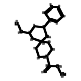 CCOC1CC(c2cccnc2)OC2(CCN(C(=O)OC(C)(C)C)CC2)C1